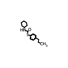 CCCc1ccc(SC(=O)NC2CCCCC2)cc1